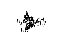 CC[C@@H](C)C[C@@H](Cc1ccc(-c2cc(F)ccc2OC)cc1)NC(=O)c1cc(O)no1